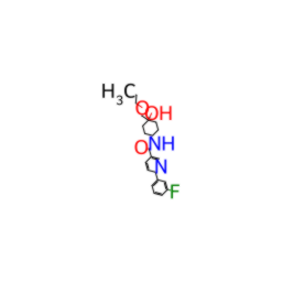 CCCOCC1(O)CCC(NC(=O)c2ccc(-c3cccc(F)c3)nc2)CC1